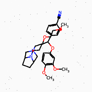 COCCOCCN1CC2CCC(C1)N2CCCC(Oc1ccc(OC)c(OC)c1)c1ccc(C#N)cc1